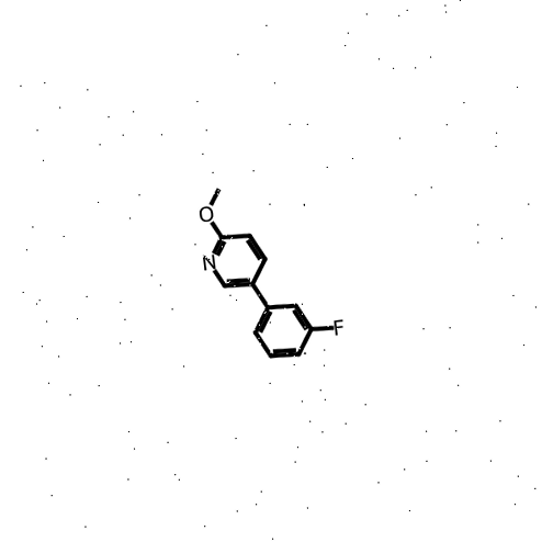 COc1ccc(-c2cc[c]c(F)c2)cn1